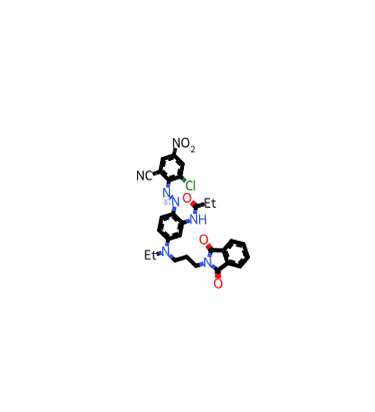 CCC(=O)Nc1cc(N(CC)CCCN2C(=O)c3ccccc3C2=O)ccc1/N=N/c1c(Cl)cc([N+](=O)[O-])cc1C#N